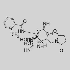 N=C1N[C@H]2C(CN3C(=O)CCC3=O)NC(=N)N3CC(NC(=O)c4ccccc4C(F)(F)F)C(O)(O)[C@]23N1